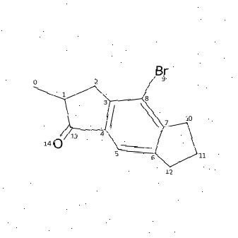 CC1Cc2c(cc3c(c2Br)CCC3)C1=O